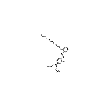 CCCCCCCCCCCCc1ccccc1N=Nc1ccc(N(CCO)CCO)cc1C